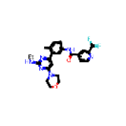 CCNc1nc(-c2cc(NC(=O)c3ccnc(C(F)F)c3)ccc2C)cc(N2CCOCC2)n1